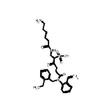 C=Cc1ccccc1N(Cc1ccccc1CC)C(=O)CCC(=O)C(CNC(=O)CCCCCN)S(=O)(=O)O